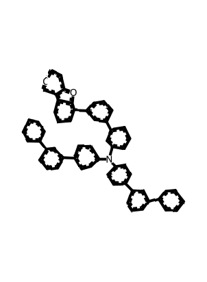 c1ccc(-c2cccc(-c3ccc(N(c4ccc(-c5cccc(-c6ccccc6)c5)cc4)c4cccc(-c5cccc(-c6cccc7c6oc6ccccc67)c5)c4)cc3)c2)cc1